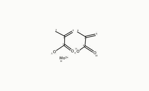 C=C(C)C(=O)[O-].C=C(C)C(=O)[O-].[Mo+2]